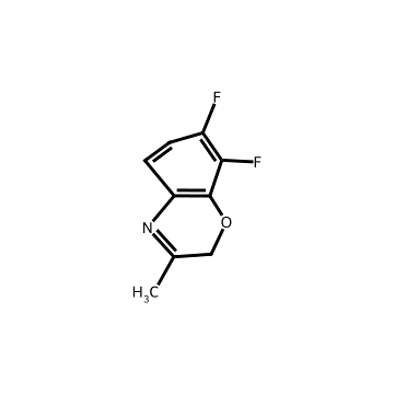 CC1=Nc2ccc(F)c(F)c2OC1